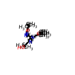 CC(C)(O)C#Cc1cc2c(-c3cnn(COCC[Si](C)(C)C)c3)cn(CCCO[Si](C)(C)C(C)(C)C)c2cn1